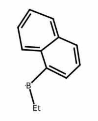 CC[B]c1cccc2ccccc12